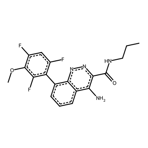 CCCNC(=O)c1nnc2c(-c3c(F)cc(F)c(OC)c3F)cccc2c1N